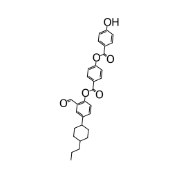 CCCC1CCC(c2ccc(OC(=O)c3ccc(OC(=O)c4ccc(O)cc4)cc3)c(C=O)c2)CC1